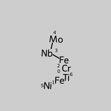 [Cr].[Fe].[Fe][Nb][Mo].[Ni].[Ti]